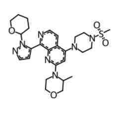 CC1COCCN1c1cc(N2CCN(S(C)(=O)=O)CC2)c2ccnc(-c3ccnn3C3CCCCO3)c2n1